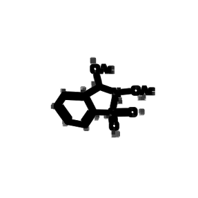 CC(=O)OC1c2ccccc2S(=O)(=O)N1OC(C)=O